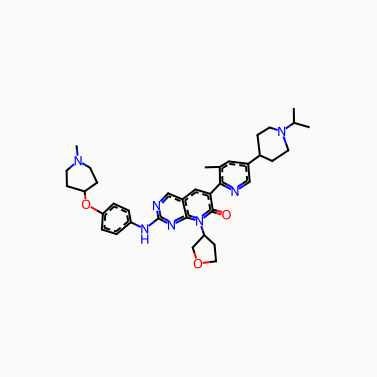 Cc1cc(C2CCN(C(C)C)CC2)cnc1-c1cc2cnc(Nc3ccc(OC4CCN(C)CC4)cc3)nc2n(C2CCOC2)c1=O